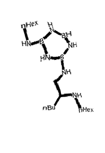 CCCCCCNB1NBNB(NCC(CCCC)NCCCCCC)N1